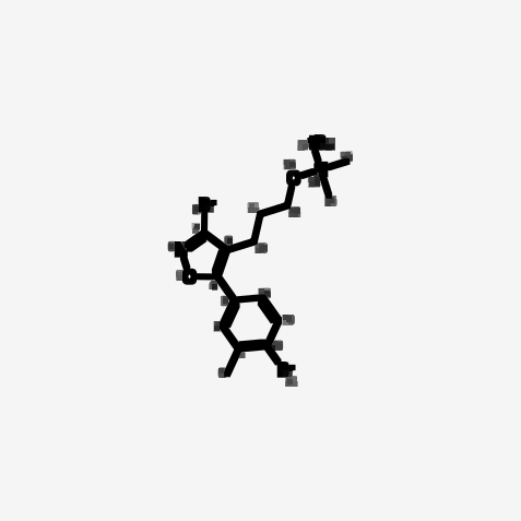 Cc1cc(-c2onc(Br)c2CCCO[Si](C)(C)C(C)(C)C)ccc1Br